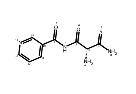 NC(=S)[C@H](N)C(=O)NC(=O)c1cccnc1